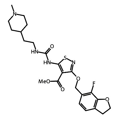 COC(=O)c1c(OCc2ccc3c(c2F)OCC3)nsc1NC(=O)NCCC1CCN(C)CC1